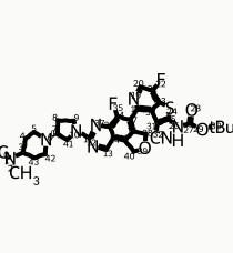 CN(C)C1CCN([C@@H]2CCN(c3ncc4c5c(c(-c6ncc(F)c7sc(NC(=O)OC(C)(C)C)c(C#N)c67)c(F)c4n3)COC5)C2)CC1